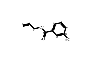 C=CCOC(=O)c1cccc(Cl)c1